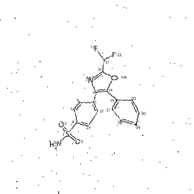 NS(=O)(=O)c1ccc(-c2nc(C(F)F)oc2-c2ccccc2)cc1